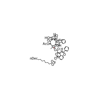 CCCCCCCCCCCCCCCCCC1OC[C@@H](COC(=O)O[C@@H](C(=O)O[C@H]2C[C@@]3(O)[C@@H](OC(=O)c4ccccc4)[C@@H]4[C@]5(OC(C)=O)CO[C@@H]5C[C@H](O)[C@@]4(C)C(=O)[C@H](OC(C)=O)C(=C2C)C3(C)C)[C@@H](NC(=O)c2ccccc2)c2ccccc2)O1